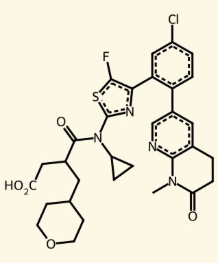 CN1C(=O)CCc2cc(-c3ccc(Cl)cc3-c3nc(N(C(=O)C(CC(=O)O)CC4CCOCC4)C4CC4)sc3F)cnc21